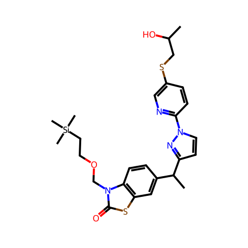 CC(O)CSc1ccc(-n2ccc(C(C)c3ccc4c(c3)sc(=O)n4COCC[Si](C)(C)C)n2)nc1